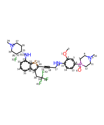 COc1cc(P2(=O)CCN(C)CC2)ccc1NCC#Cc1sc2c(N[C@H]3CCN(C)C[C@H]3F)cccc2c1CC(F)(F)F